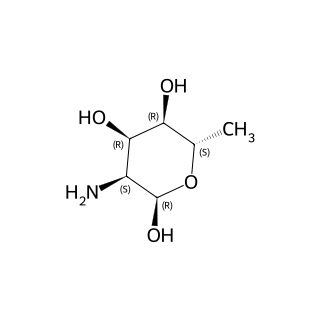 C[C@@H]1O[C@@H](O)[C@@H](N)[C@@H](O)[C@H]1O